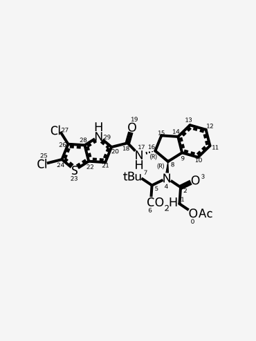 CC(=O)OCC(=O)N(C(C(=O)O)C(C)(C)C)[C@@H]1c2ccccc2C[C@H]1NC(=O)c1cc2sc(Cl)c(Cl)c2[nH]1